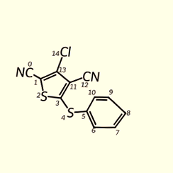 N#Cc1sc(Sc2ccccc2)c(C#N)c1Cl